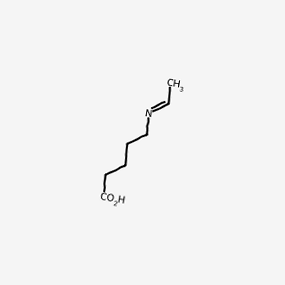 CC=NCCCCC(=O)O